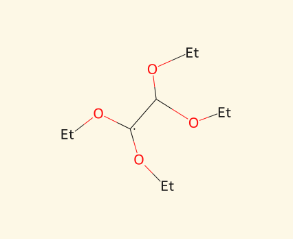 CCO[C](OCC)C(OCC)OCC